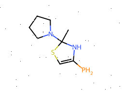 CC1(N2CCCC2)NC(P)=CS1